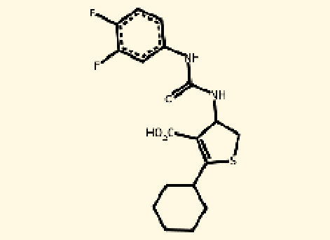 O=C(Nc1ccc(F)c(F)c1)NC1CSC(C2CCCCC2)=C1C(=O)O